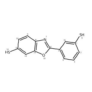 Sc1cccc(-c2nc3ccc(S)cc3o2)c1